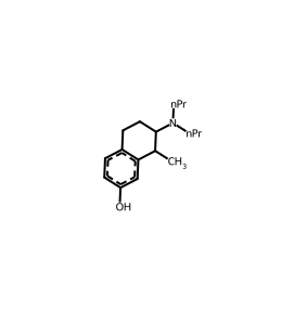 CCCN(CCC)C1CCc2ccc(O)cc2C1C